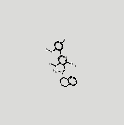 CCOc1ccc(F)cc1-c1cc(OCC)c(CN(C)[C@H]2CCCc3ccccc32)c(C)n1